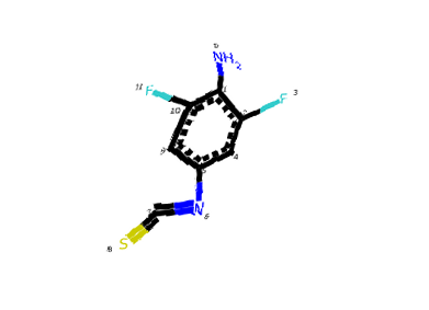 Nc1c(F)cc(N=C=S)cc1F